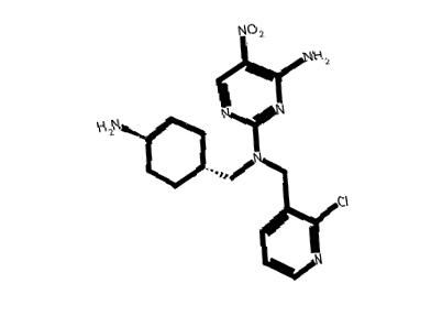 Nc1nc(N(Cc2cccnc2Cl)C[C@H]2CC[C@H](N)CC2)ncc1[N+](=O)[O-]